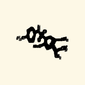 C=C(C)c1cc(OC)c(S(=O)(=O)Nc2ccc(C(F)(F)F)cc2)cc1N